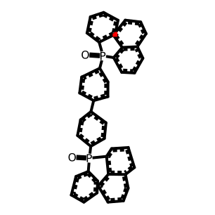 O=P(c1ccccc1)(c1ccc(-c2ccc(P(=O)(c3ccccc3)c3cccc4ccccc34)cc2)cc1)c1cccc2ccccc12